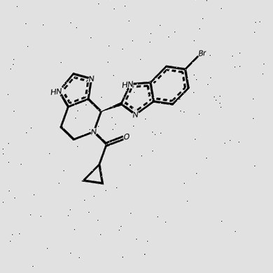 O=C(C1CC1)N1CCc2[nH]cnc2[C@H]1c1nc2ccc(Br)cc2[nH]1